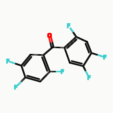 O=C(c1cc(F)c(F)cc1F)c1cc(F)c(F)cc1F